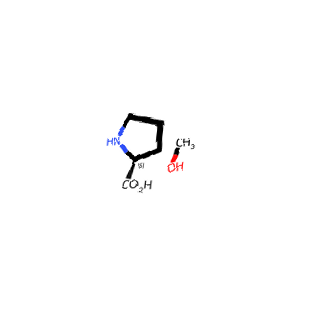 CO.O=C(O)[C@@H]1CCCN1